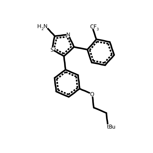 CC(C)(C)CCOc1cccc(-c2sc(N)nc2-c2ccccc2C(F)(F)F)c1